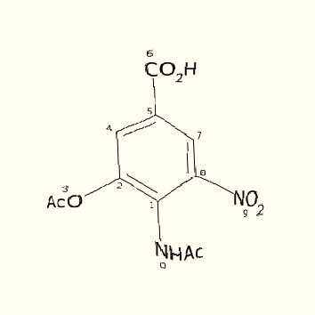 CC(=O)Nc1c(OC(C)=O)cc(C(=O)O)cc1[N+](=O)[O-]